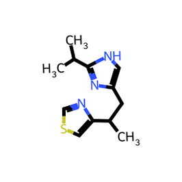 CC(C)c1nc(CC(C)c2cscn2)c[nH]1